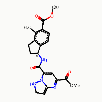 COC(=O)C1=NC2=CCNN2C(C(=O)N[C@H]2CCc3c2ccc(C(=O)OC(C)(C)C)c3C)=C1